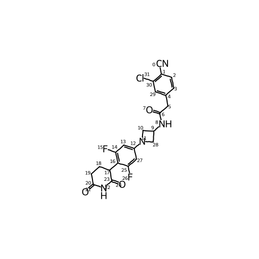 N#Cc1ccc(CC(=O)NC2CN(c3cc(F)c(C4CCC(=O)NC4=O)c(F)c3)C2)cc1Cl